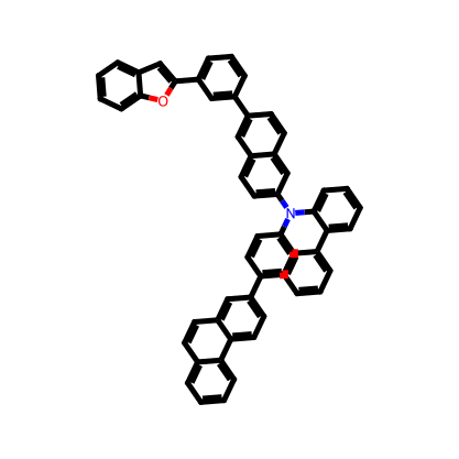 c1ccc(-c2ccccc2N(c2ccc(-c3ccc4c(ccc5ccccc54)c3)cc2)c2ccc3cc(-c4cccc(-c5cc6ccccc6o5)c4)ccc3c2)cc1